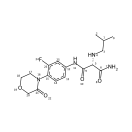 CC(C)CN[C@H](C(N)=O)C(=O)Nc1ccc(N2CCOCC2=O)c(F)c1